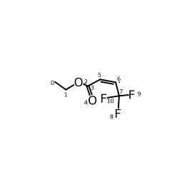 CCOC(=O)/C=[C]\C(F)(F)F